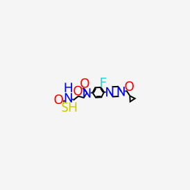 O=C(S)NCC1CN(c2ccc(N3CCN(C(=O)C4CC4)CC3)c(F)c2)C(=O)O1